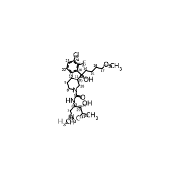 CNC[C@@H](NC(=O)N1CCC[C@@H]([C@@](O)(CCCCOC)c2cccc(Cl)c2F)C1)[C@H](O)C(C)C